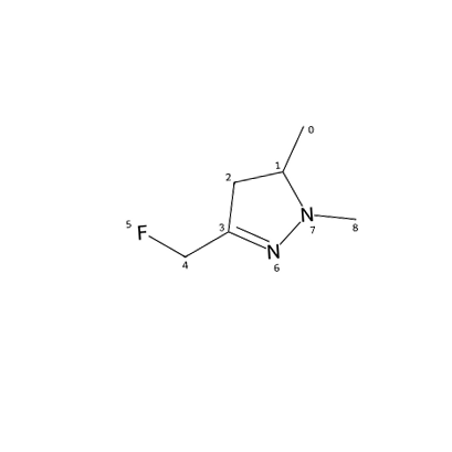 CC1CC(CF)=NN1C